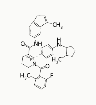 CC1=CCc2ccc(NC(=O)[C@H]3CCCN(C(=O)c4c(C)cccc4F)[C@H]3c3ccc(NC4CCCC4C)cc3)cc21